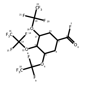 O=C(F)C1CC(OC(F)(F)C(F)(F)F)C(OC(F)(F)C(F)(F)F)C(OC(F)(F)C(F)(F)F)C1